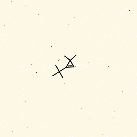 CC(C)(C)C1=[C]C1(C)C